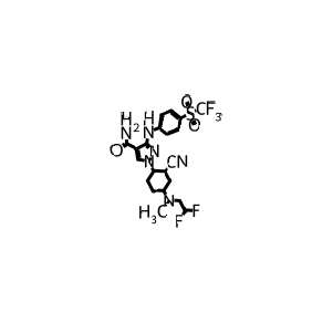 CN(CC(F)F)C1CCC(n2cc(C(N)=O)c(Nc3ccc(S(=O)(=O)C(F)(F)F)cc3)n2)C(C#N)C1